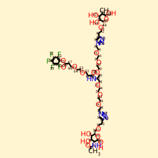 CC(=O)N[C@@H]1[C@@H](O)[C@@H](O)[C@@H](COCCc2cn(CCOCCOCCOCC(COCCOCCOCCn3cc(CCOC[C@H]4O[C@@H](O)[C@H](C)[C@@H](O)[C@H]4O)nn3)NC(=O)CCOCCOCCC(=O)Oc3c(F)c(F)c(F)c(F)c3F)nn2)O[C@H]1O